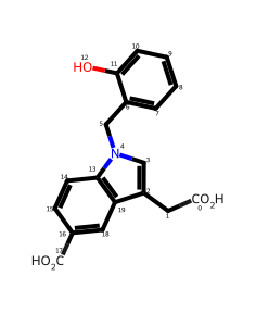 O=C(O)Cc1cn(Cc2ccccc2O)c2ccc(C(=O)O)cc12